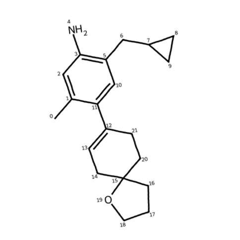 Cc1cc(N)c(CC2CC2)cc1C1=CCC2(CCCO2)CC1